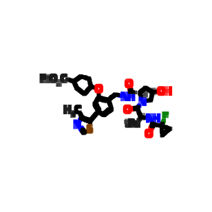 CCOC(=O)C1CCC(Oc2cc(-c3scnc3C)ccc2CNC(=O)[C@@H]2C[C@@H](O)CN2C(=O)[C@@H](NC(=O)C2(F)CC2)C(C)(C)C)CC1